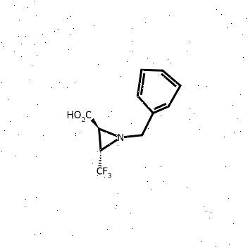 O=C(O)[C@@H]1[C@@H](C(F)(F)F)N1Cc1ccccc1